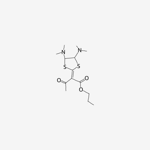 CCCOC(=O)C(C(C)=O)=C1SC(N(C)C)C(N(C)C)S1